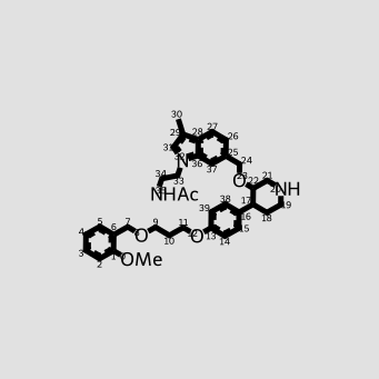 COc1ccccc1COCCCOc1ccc(C2CCNCC2OCc2ccc3c(C)cn(CCNC(C)=O)c3c2)cc1